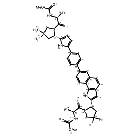 COC(=O)N[C@H](C(=O)N1C[Si](C)(C)C[C@H]1c1ncc(-c2ccc(-c3ccc4c(ccc5nc([C@@H]6CC(F)(F)CN6C(=O)[C@@H](NC(=O)OC)C(C)C)[nH]c54)c3)cc2)[nH]1)C(C)C